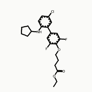 CCOC(=O)CCCOc1c(F)cc(-c2cc(Cl)ccc2NC2CCCC2)cc1F